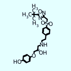 CC(C)(C)c1nc(CS(=O)(=O)c2ccc(CCNC[C@@H](O)COc3ccc(O)cc3)cc2)no1